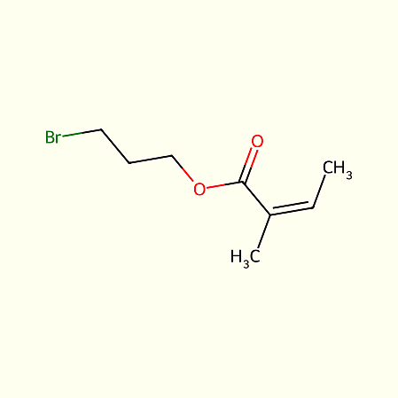 CC=C(C)C(=O)OCCCBr